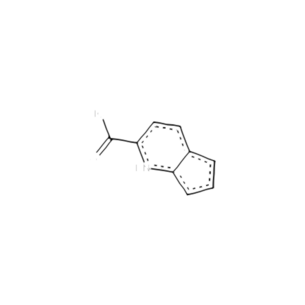 O=C(O)c1ccc2cccc-2[nH]1